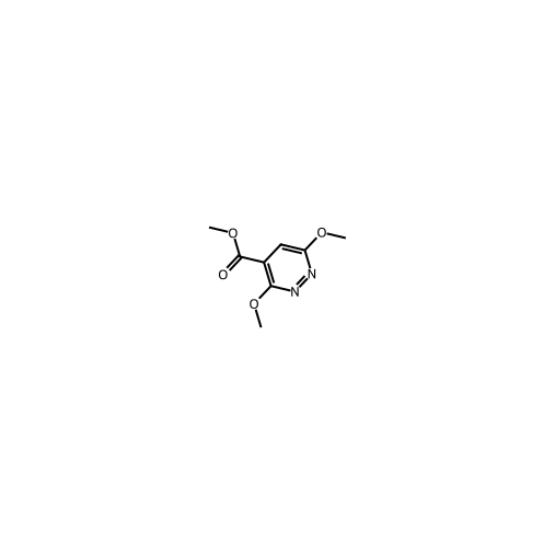 COC(=O)c1cc(OC)nnc1OC